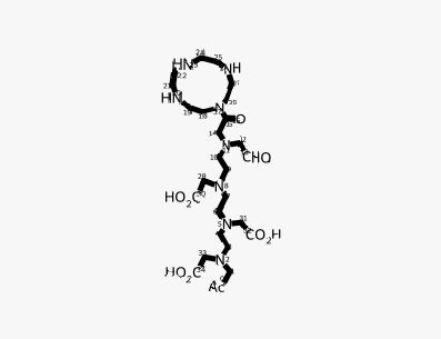 CC(=O)CN(CCN(CCN(CCN(CC=O)CC(=O)N1CCNCCNCCNCC1)CC(=O)O)CC(=O)O)CC(=O)O